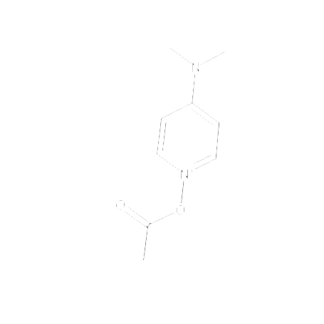 CC(=O)O[n+]1ccc(N(C)C)cc1